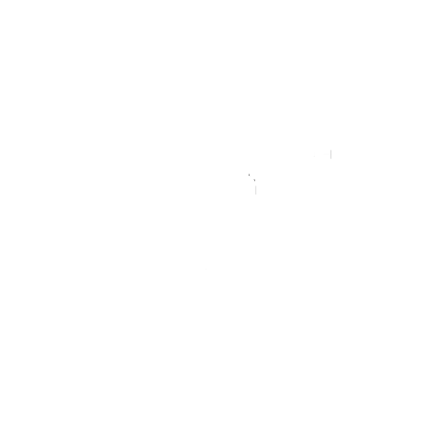 CCNC1(CS(=O)(=O)c2ccccc2)CCCCC1